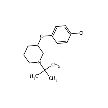 CC(C)(C)N1CCCC(Oc2ccc(Cl)cc2)C1